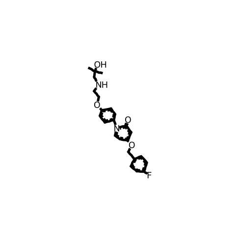 CC(C)(O)CNCCOc1ccc(-n2ccc(OCc3ccc(F)cc3)cc2=O)cc1